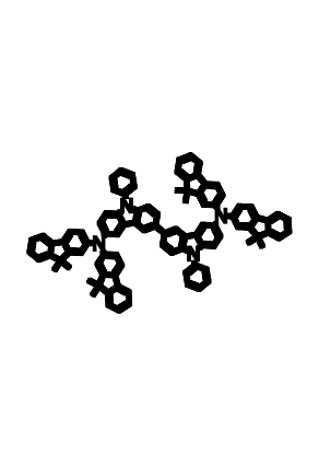 CC1(C)c2ccccc2-c2ccc(N(c3ccc4c(c3)C(C)(C)c3ccccc3-4)c3ccc4c(c3)c3cc(-c5ccc6c(c5)c5cc(N(c7ccc8c(c7)C(C)(C)c7ccccc7-8)c7ccc8c(c7)C(C)(C)c7ccccc7-8)ccc5n6-c5ccccc5)ccc3n4-c3ccccc3)cc21